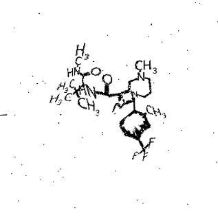 CNC(=O)[C@@H](NC(=O)c1nc(-c2ccc(C(F)(F)F)cc2C)n2c1CN(C)CCC2)C(C)(C)C